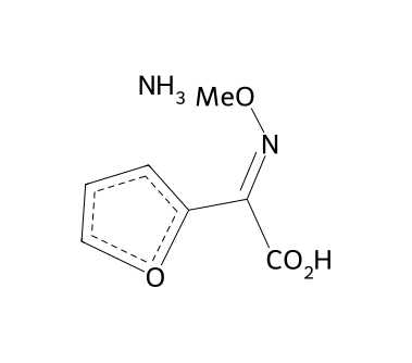 CO/N=C(/C(=O)O)c1ccco1.N